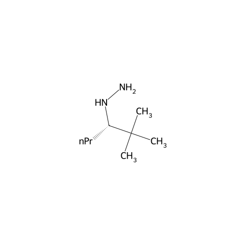 CCC[C@H](NN)C(C)(C)C